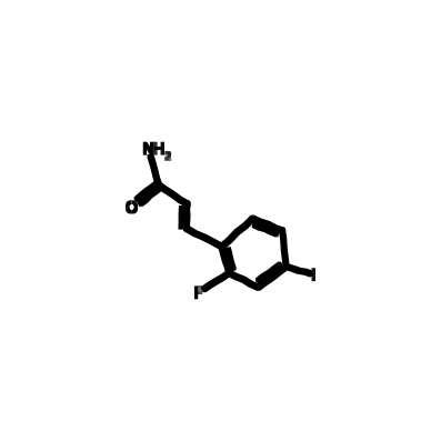 NC(=O)C=Cc1ccc(I)cc1F